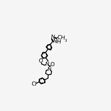 Cc1ncc(-c2ccc(-c3ccc4c(c3)CN(C(=O)N3CCC(Cc5ccc(Cl)cc5)CC3)CCO4)cc2)[nH]1